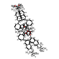 CCC1=CC2=C(C=CC=CC2c2ccc3cc(O[Si](C)(C)C(C)(C)C)ccc3c2)[C]12[SiH](C)[C]1(C(CC)=CC3=C1C=CC=CC3c1ccc3cc(O[Si](C)(C)C(C)(C)C)ccc3c1)[Zr]21([Cl])([Cl])[C]2(C(CC)=CC3=C2C=CC=CC3c2ccc3cc(O[Si](C)(C)C(C)(C)C)ccc3c2)[SiH](C)[C]12C(CC)=CC1=C2C=CC=CC1c1ccc2cc(O[Si](C)(C)C(C)(C)C)ccc2c1